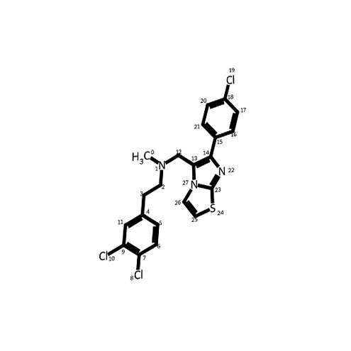 CN(CCc1ccc(Cl)c(Cl)c1)Cc1c(-c2ccc(Cl)cc2)nc2sccn12